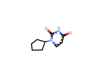 O=c1ccn(C2CCCC2)c(=O)[nH]1